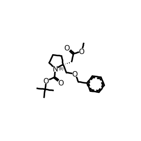 COC(=O)C[C@@]1(COCc2ccccc2)CCCN1C(=O)OC(C)(C)C